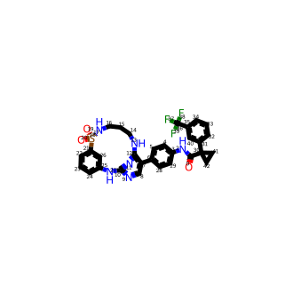 O=C(Nc1ccc(-c2cnc3nc2NCCCNS(=O)(=O)c2cccc(c2)N3)cc1)C1(c2cccc(C(F)(F)F)c2)CC1